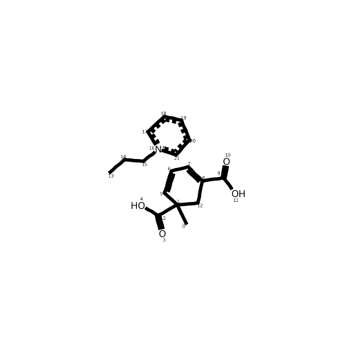 CC1(C(=O)O)C=CC=C(C(=O)O)C1.CCC[n+]1ccccc1